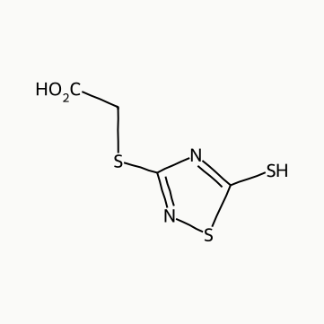 O=C(O)CSc1nsc(S)n1